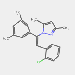 Cc1cc(C)cc(C(=Cc2ccccc2Cl)n2nc(C)cc2C)c1